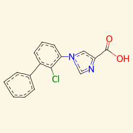 O=C(O)c1cn(-c2cccc(-c3ccccc3)c2Cl)cn1